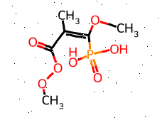 COOC(=O)C(C)=C(OC)P(=O)(O)O